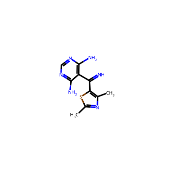 Cc1nc(C)c(C(=N)c2c(N)ncnc2N)s1